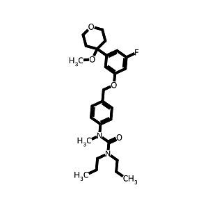 CCCN(CCC)C(=O)N(C)c1ccc(COc2cc(F)cc(C3(OC)CCOCC3)c2)cc1